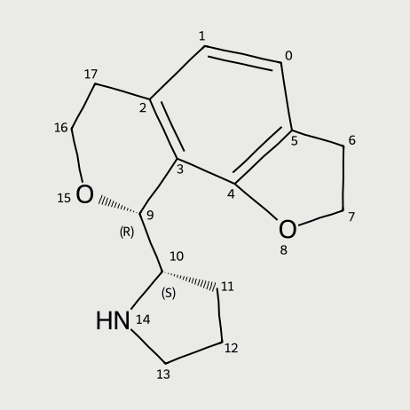 c1cc2c(c3c1CCO3)[C@H]([C@@H]1CCCN1)OCC2